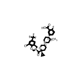 C[C@H]1CN([C@@H]2CC[C@@](C(=O)N3COc4c(Cl)cc(C(F)(F)F)cc4C3)(C3CC3)OC2)CC[C@@H]1c1ccc(F)c(C(=O)O)c1